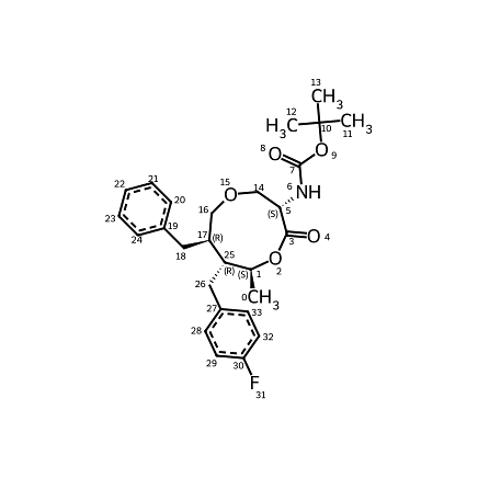 C[C@@H]1OC(=O)[C@@H](NC(=O)OC(C)(C)C)COC[C@H](Cc2ccccc2)[C@H]1Cc1ccc(F)cc1